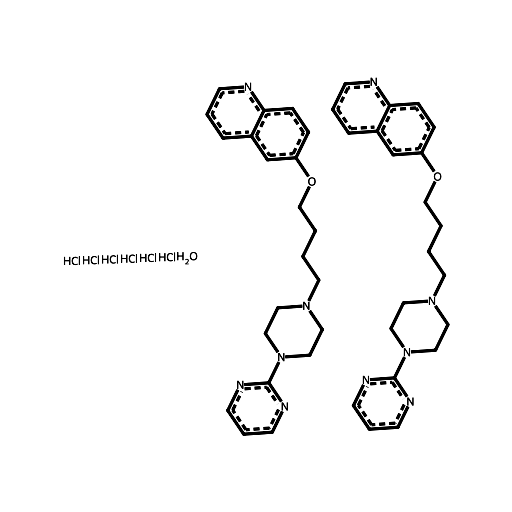 Cl.Cl.Cl.Cl.Cl.Cl.O.c1cnc(N2CCN(CCCCOc3ccc4ncccc4c3)CC2)nc1.c1cnc(N2CCN(CCCCOc3ccc4ncccc4c3)CC2)nc1